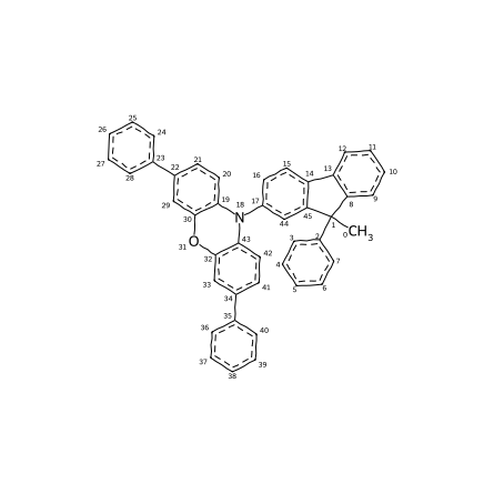 CC1(c2ccccc2)c2ccccc2-c2ccc(N3c4ccc(-c5ccccc5)cc4Oc4cc(-c5ccccc5)ccc43)cc21